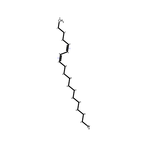 CCCC/C=C\C=C/CCCCCCCCCCBr